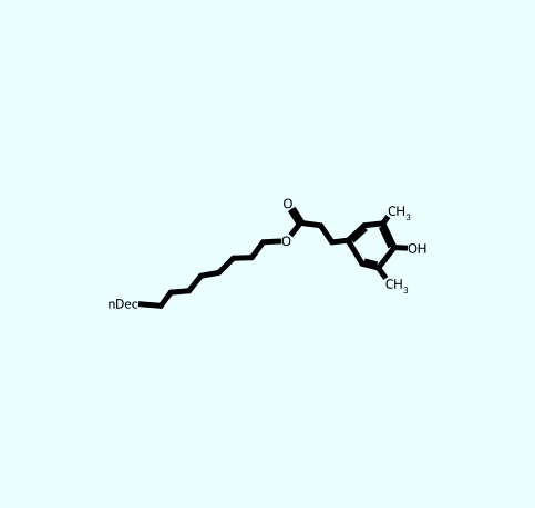 CCCCCCCCCCCCCCCCCCOC(=O)CCc1cc(C)c(O)c(C)c1